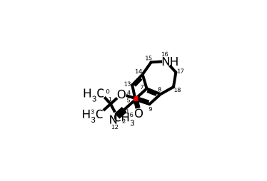 CC(C)(C)OC(=O)c1c2cc(C#N)cc1CNCC2